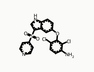 Nc1[c]cc(Cl)c(Oc2ccc3[nH]cc(S(=O)(=O)c4ccncc4)c3c2)c1Cl